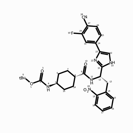 CC(C)(C)OC(=O)N[C@H]1CC[C@H](C(=O)N[C@@H](Cc2ccccc2[N+](=O)[O-])c2nc(-c3ccc(C#N)c(F)c3)c[nH]2)CC1